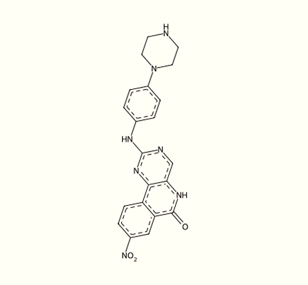 O=c1[nH]c2cnc(Nc3ccc(N4CCNCC4)cc3)nc2c2ccc([N+](=O)[O-])cc12